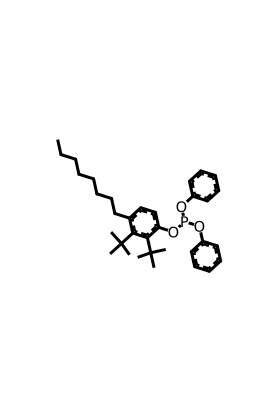 CCCCCCCCc1ccc(OP(Oc2ccccc2)Oc2ccccc2)c(C(C)(C)C)c1C(C)(C)C